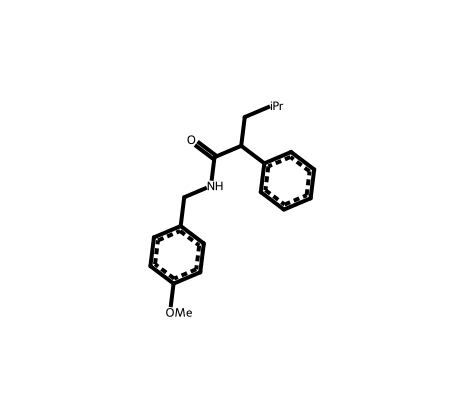 COc1ccc(CNC(=O)C(CC(C)C)c2ccccc2)cc1